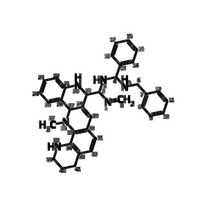 C=NC(NC(NCc1ccccc1)c1ccccc1)C1Nc2ccccc2C2C1=Cc1ccc3c(c1N2C)NCCC3